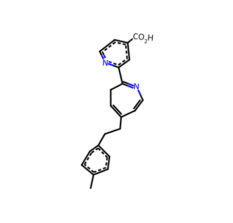 Cc1ccc(CCC2=CCC(c3cc(C(=O)O)ccn3)=NC=C2)cc1